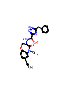 C#Cc1ccc2c(c1)N(C)C(=O)[C@H](NC(O)c1n[nH]c(Cc3ccccc3)n1)CO2